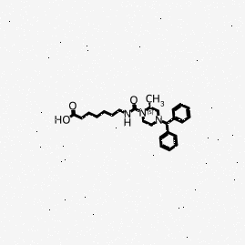 C[C@H]1CN(C(c2ccccc2)c2ccccc2)CCN1C(=O)NCCCCCCC(=O)O